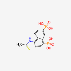 CC(=S)Nc1ccc(P(=O)(O)O)c2cc(P(=O)(O)O)ccc12